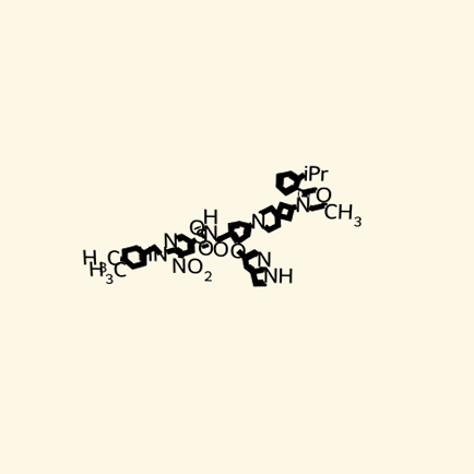 CC1CN(C2CC3(CCN(c4ccc(C(=O)NS(=O)(=O)c5cnc(NCC6CCC(C)(C)CC6)c([N+](=O)[O-])c5)c(Oc5cnc6[nH]ccc6c5)c4)CC3)C2)[C@@H](c2ccccc2C(C)C)CO1